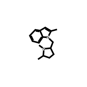 Cc1cc2ccccc2n1CC1CCC(C)N1C